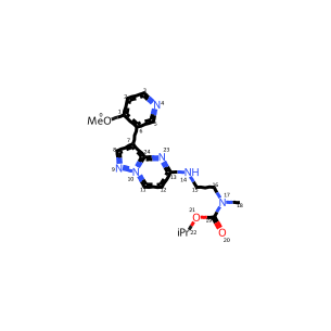 COc1ccncc1-c1cnn2ccc(NCCN(C)C(=O)OC(C)C)nc12